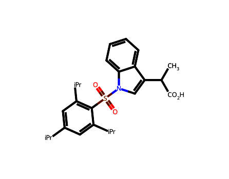 CC(C)c1cc(C(C)C)c(S(=O)(=O)n2cc(C(C)C(=O)O)c3ccccc32)c(C(C)C)c1